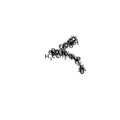 Cc1cc(C[C@@H](OC(=O)N2CCC(N3CCc4ccccc4NC3=O)CC2)C(=O)N2CCC(C3CCN(CCC(=O)OCCCN4CCOCC4)CC3)CC2)cc2oc(=O)n(C)c12